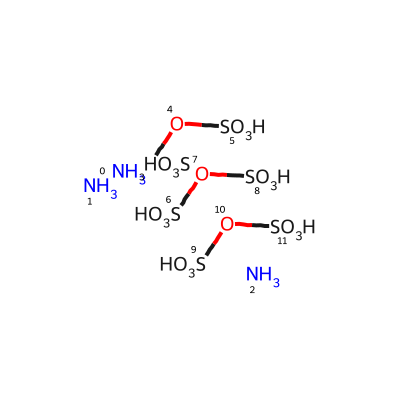 N.N.N.O=S(=O)(O)OS(=O)(=O)O.O=S(=O)(O)OS(=O)(=O)O.O=S(=O)(O)OS(=O)(=O)O